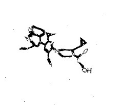 C=Cc1cc(-c2cc(C#N)c(N3CCN(C(=O)CCO)C(C4CC4)C3)nc2C2CC2)c2cccnc2n1